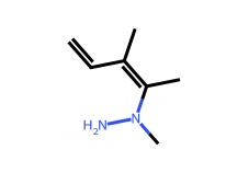 C=C/C(C)=C(/C)N(C)N